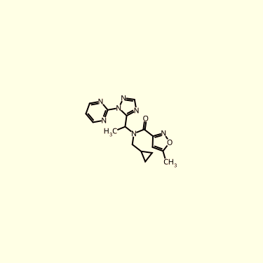 Cc1cc(C(=O)N(CC2CC2)C(C)c2ncnn2-c2ncccn2)no1